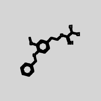 COc1cc(CCOC(=N)C(Cl)Cl)ccc1OCc1ccccc1